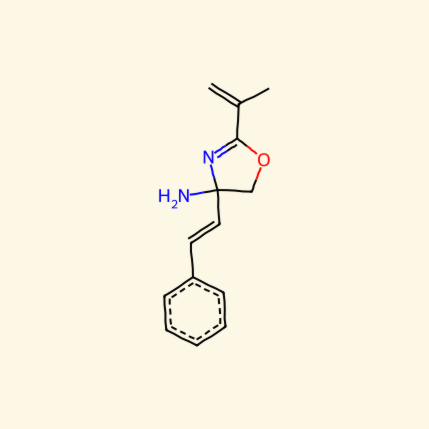 C=C(C)C1=NC(N)(C=Cc2ccccc2)CO1